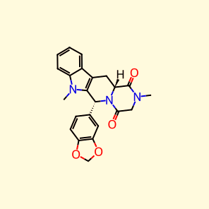 CN1CC(=O)N2[C@H](c3ccc4c(c3)OCO4)c3c(c4ccccc4n3C)C[C@@H]2C1=O